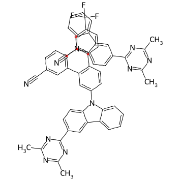 Cc1nc(C)nc(-c2ccc3c(c2)c2ccccc2n3-c2ccc(-c3ccc(C(F)(F)F)cc3C#N)c(-c3cc(C#N)ccc3-n3c4ccccc4c4cc(-c5nc(C)nc(C)n5)ccc43)c2)n1